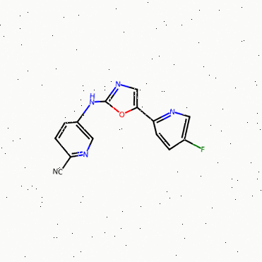 N#Cc1ccc(Nc2ncc(-c3ccc(F)cn3)o2)cn1